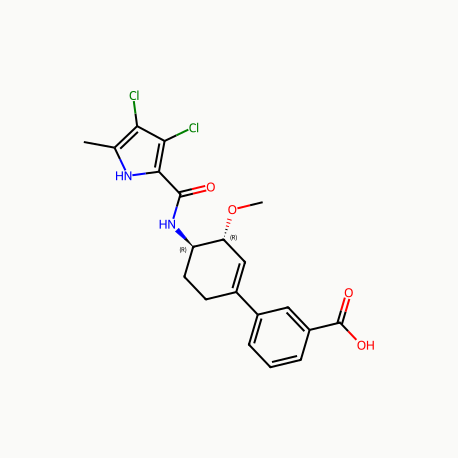 CO[C@@H]1C=C(c2cccc(C(=O)O)c2)CC[C@H]1NC(=O)c1[nH]c(C)c(Cl)c1Cl